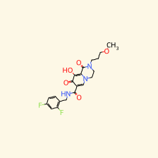 COCCCN1CCn2cc(C(=O)NCc3ccc(F)cc3F)c(=O)c(O)c2C1=O